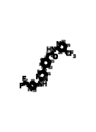 O=C(Cc1ccc(-c2cnc(Nc3cnn(C(F)F)c3)nc2)cc1)Nc1cc(C(F)(F)F)ccn1